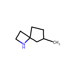 CC1CCC2(CCN2)C1